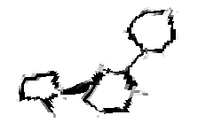 c1nc(N2CCCC2)nc(N2CCOCC2)n1